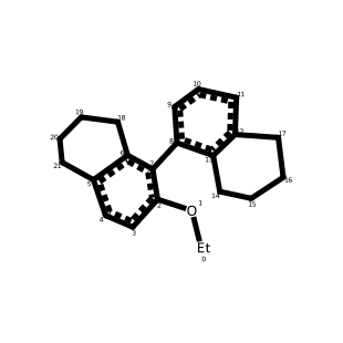 CCOc1ccc2c(c1-c1cccc3c1CCCC3)CCCC2